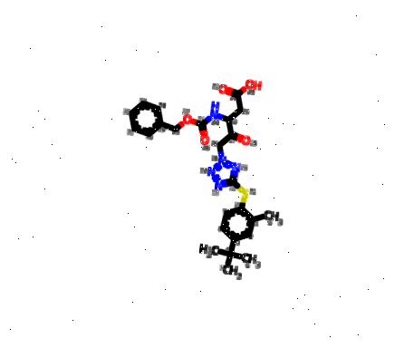 Cc1cc(C(C)(C)C)ccc1Sc1nnn(CC(=O)C(CC(=O)O)NC(=O)OCc2ccccc2)n1